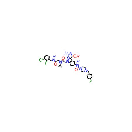 NC(O)c1nn(CC(=O)N(CC(=O)NCc2cccc(Cl)c2F)C2CC2)c2ccc(NC(=O)N3CCN(Cc4ccc(F)cc4)CC3)cc12